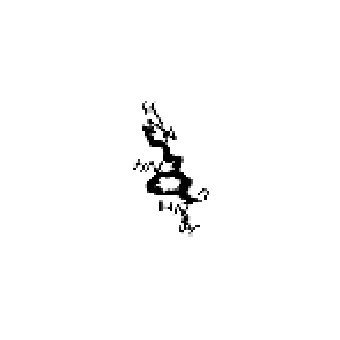 CC(C)CNC(=O)c1ccc2[nH]c(-c3cc[nH]n3)cc2c1